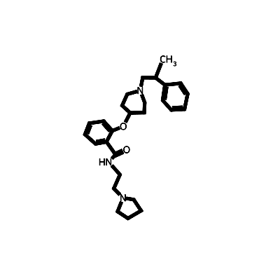 CC(CN1CCC(Oc2ccccc2C(=O)NCCN2CCCC2)CC1)c1ccccc1